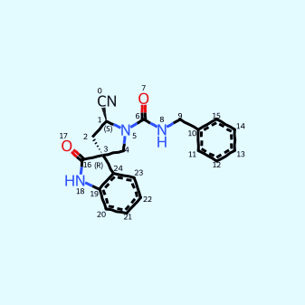 N#C[C@@H]1C[C@@]2(CN1C(=O)NCc1ccccc1)C(=O)Nc1ccccc12